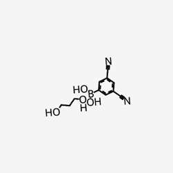 N#Cc1cc(C#N)cc(B(O)O)c1.OCCCO